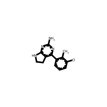 Cc1c(Cl)cccc1-c1nc(N)nc2c1CCN2